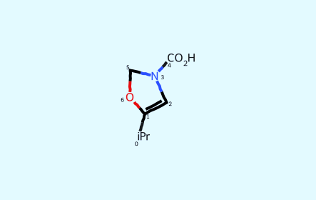 CC(C)C1=CN(C(=O)O)CO1